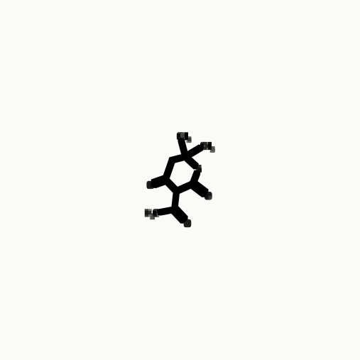 CC(=O)C1C(=O)CC(C)(C)SC1=O